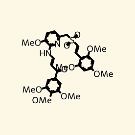 COc1cc(OC)c(/C=C/S(=O)(=O)Cc2ccc(OC)c(N/C=C/C(=O)c3cc(OC)c(OC)c(OC)c3)n2)c(OC)c1